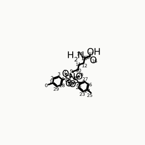 Cc1ccc(S(=O)(=O)N(CCCC[C@H](N)C(=O)O)S(=O)(=O)c2ccc(C)cc2)cc1